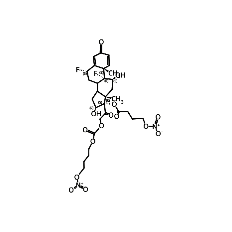 C[C@]12C=CC(=O)C=C1[C@@H](F)CC1C3C[C@@H](O)[C@](OC(=O)CCCO[N+](=O)[O-])(C(=O)COC(=O)OCCCCO[N+](=O)[O-])[C@@]3(C)C[C@H](O)[C@@]12F